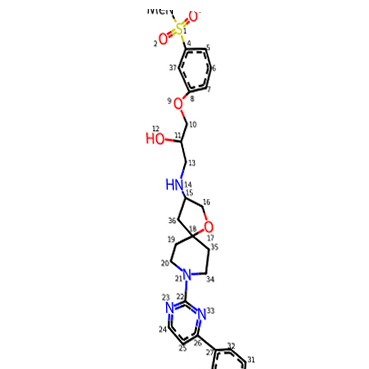 CNS(=O)(=O)c1cccc(OCC(O)CNC2COC3(CCN(c4nccc(-c5ccccc5)n4)CC3)C2)c1